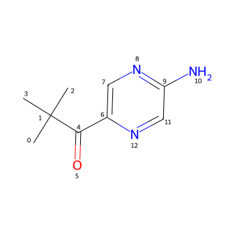 CC(C)(C)C(=O)c1cnc(N)cn1